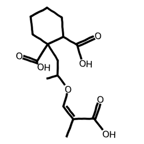 CC(=COC(C)CC1(C(=O)O)CCCCC1C(=O)O)C(=O)O